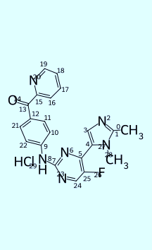 Cc1ncc(-c2nc(Nc3ccc(C(=O)c4ccccn4)cc3)ncc2F)n1C.Cl